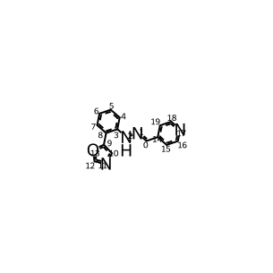 C(=NNc1ccccc1-c1cnco1)c1ccncc1